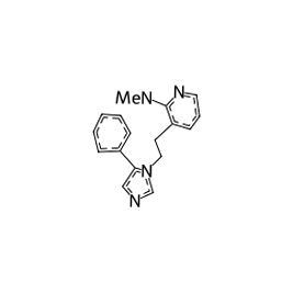 CNc1ncccc1CCn1cncc1-c1ccccc1